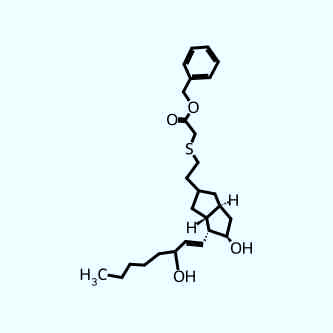 CCCCCC(O)C=C[C@@H]1[C@@H]2CC(CCSCC(=O)OCc3ccccc3)C[C@H]2C[C@H]1O